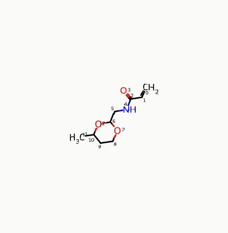 C=CC(=O)NCC1OCCC(C)O1